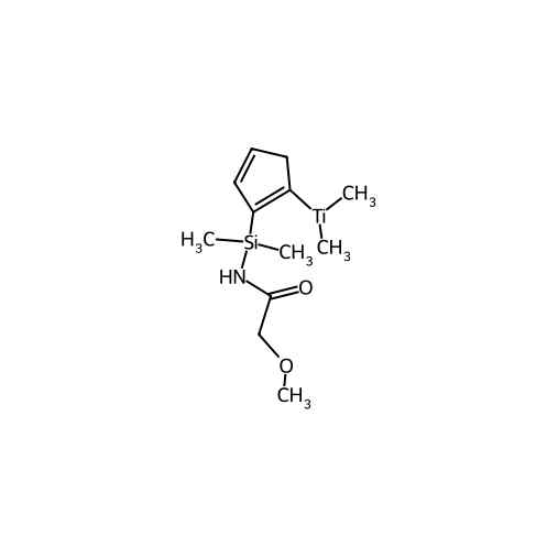 COCC(=O)N[Si](C)(C)C1=[C]([Ti]([CH3])[CH3])CC=C1